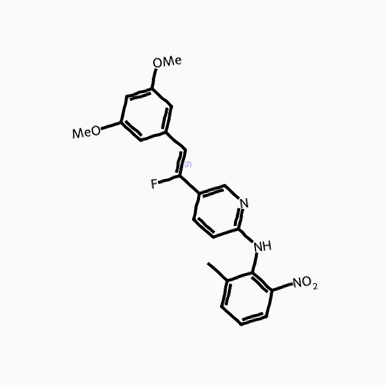 COc1cc(/C=C(\F)c2ccc(Nc3c(C)cccc3[N+](=O)[O-])nc2)cc(OC)c1